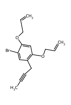 C=CCOc1cc(OCC=C)c(CC#CC)cc1Br